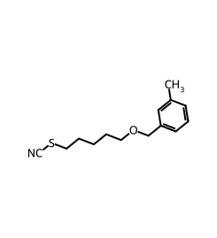 Cc1cccc(COCCCCCSC#N)c1